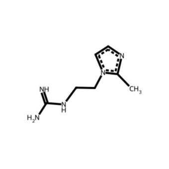 Cc1nccn1CCNC(=N)N